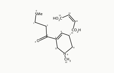 CSCCC(=O)C1=CCCN(C)C1.O=C(O)/C=C\C(=O)O